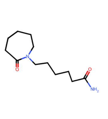 NC(=O)CCCCCN1CCCCCC1=O